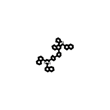 c1cc(-c2ccc(-c3cc(-c4cccc5ccccc45)nc(-c4cccc5ccccc45)n3)cc2)cc(-c2cc3c(-c4ccc5ccccc5c4)nc4ccccc4c3c3ccccc23)c1